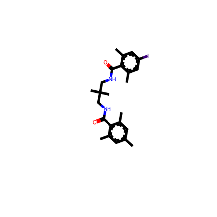 Cc1cc(C)c(C(=O)NCC(C)(C)CNC(=O)c2c(C)cc(I)cc2C)c(C)c1